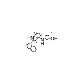 [CH2][C@H]1C[C@@H](Nc2ncnc3[nH]c(-c4cccc5ccccc45)nc23)C[C@@H]1O